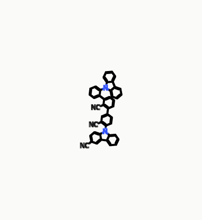 N#Cc1ccc2c(c1)c1ccccc1n2-c1ccc(-c2cccc(-c3ccccc3-n3c4ccccc4c4ccccc43)c2C#N)cc1C#N